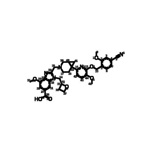 COc1cc(C#N)ccc1COc1nc(C23CCN(Cc4nc5c(OC)cc(C(=O)O)cc5n4C[C@@H]4CCO4)CC2C3)ccc1OC